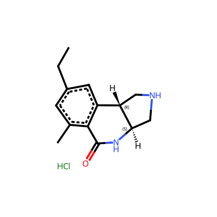 CCc1cc(C)c2c(c1)[C@@H]1CNC[C@H]1NC2=O.Cl